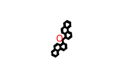 O=C(c1cccc2c1ccc1ccccc12)c1cccc2c1ccc1ccccc12